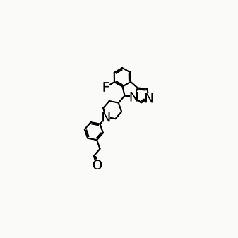 O=CCc1cccc(N2CCC(C3c4c(F)cccc4-c4cncn43)CC2)c1